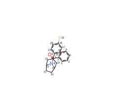 O=C(c1ccccc1)N1C2CCC1CC(c1ccc(F)cc1)C2